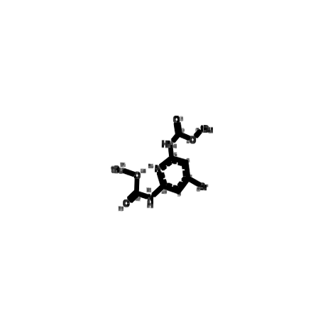 CC(C)(C)OC(=O)Nc1cc(Br)cc(NC(=O)OC(C)(C)C)n1